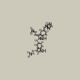 CN(C)CCc1c[nH]c2ccc(Cc3[nH]c4ccc(Cn5cncn5)cc4c3CCN(C)C)cc12